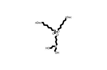 CCCCCCCCCCCCCCCCOP(=O)(OCCCCCCCCCCCCCCCC)OCCCCN(CCO)CCO